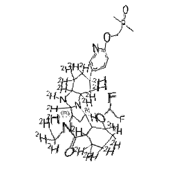 [2H]N1C2([2H])C([2H])([2H])C([2H])([2H])C([2H])(c3ccc(OCP(C)(C)=O)nc3)C([2H])([2H])C2([2H])N2[C@@H]3C[C@@]([2H])(N(C([2H])([2H])[2H])C(=O)C4([2H])C3C([2H])(OC(F)F)C([2H])([2H])C([2H])([2H])C4([2H])[2H])C12[2H]